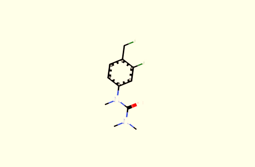 CN(C)C(=O)N(C)c1ccc(CCl)c(Cl)c1